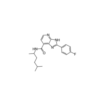 CC(C)CCC(C)NC(=O)c1ccnc2[nH]c(-c3ccc(F)cc3)nc12